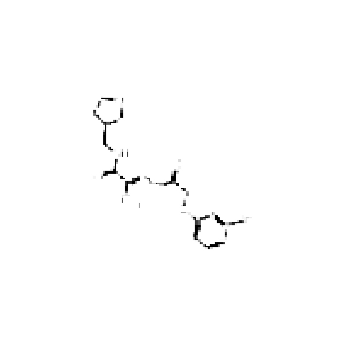 C=C(COc1cccc(Br)c1)O/N=C(\C)C(=O)NCC1CCOC1